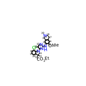 CCOC(=O)CC1(C)CN(c2nc(Nc3cc4c(cc3OC)CCN(C)C4)ncc2Cl)c2ccccc21